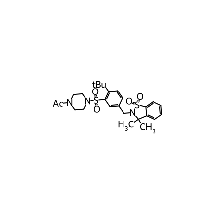 CC(=O)N1CCN(S(=O)(=O)c2cc(CN3C(C)(C)c4ccccc4S3(=O)=O)ccc2C(C)(C)C)CC1